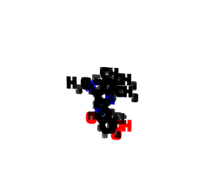 CC[C@@]1(O)C(=O)CCc2c1cc1n(c2=O)Cc2c-1nc1c(C)c(C)c(C)c3c1c2CN(C)C3